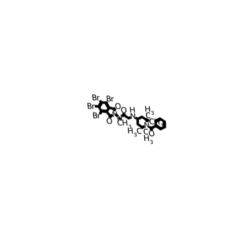 CN(C(=O)CNC1CC(C)(C)N(C(=O)c2ccccc2)C(C)(C)C1)N1C(=O)c2c(Br)c(Br)c(Br)c(Br)c2C1=O